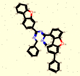 C=N/C(=N\C(=N/Cc1ccccc1)c1ccc2c(c1)oc1ccccc12)c1cccc2oc3cc(-c4ccccc4)ccc3c12